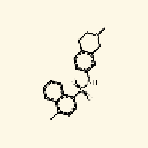 Cc1ccc(S(=O)(=O)Nc2ccc3c(c2)CN(C)CC3)c2ccccc12